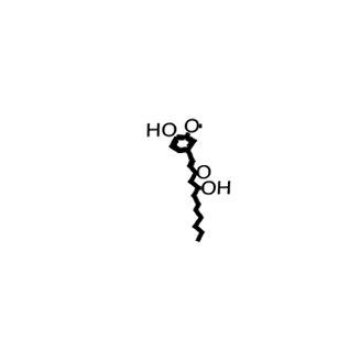 CCCCCCCC(O)CC(=O)C=Cc1ccc(O)c(OC)c1